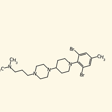 Cc1cc(Br)c(N2CCC(N3CCN(CCCN(C)C)CC3)CC2)c(Br)c1